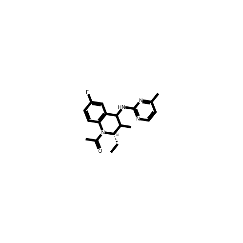 CC[C@H]1C(C)C(Nc2nccc(C)n2)c2cc(F)ccc2N1C(C)=O